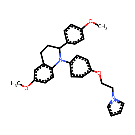 COc1ccc(C2CCc3cc(OC)ccc3N2c2ccc(OCCn3cccc3)cc2)cc1